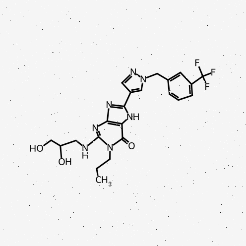 CCCn1c(NCC(O)CO)nc2nc(-c3cnn(Cc4cccc(C(F)(F)F)c4)c3)[nH]c2c1=O